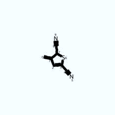 C=C1C=C(C#N)SC1C#N